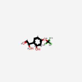 O=CC(O)c1ccc(OC(F)(F)F)cc1O